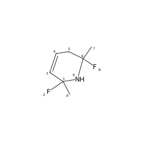 CC1(F)C=CCC(C)(F)N1